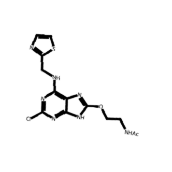 CC(=O)NCCOc1nc2c(NCc3nccs3)nc(Cl)nc2[nH]1